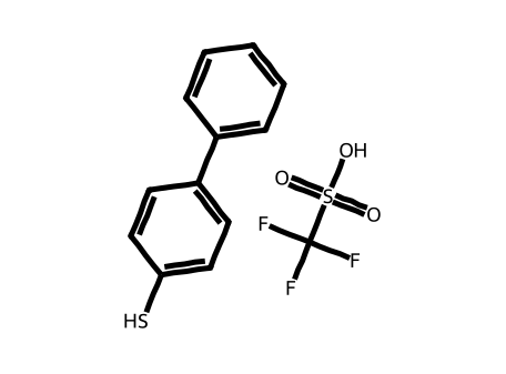 O=S(=O)(O)C(F)(F)F.Sc1ccc(-c2ccccc2)cc1